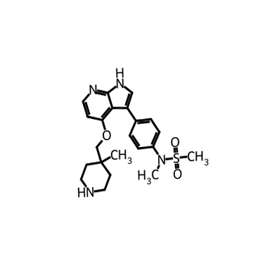 CN(c1ccc(-c2c[nH]c3nccc(OCC4(C)CCNCC4)c23)cc1)S(C)(=O)=O